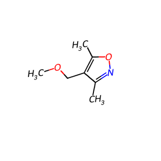 COCc1c(C)noc1C